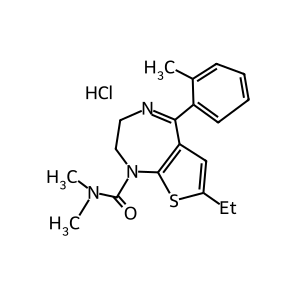 CCc1cc2c(s1)N(C(=O)N(C)C)CCN=C2c1ccccc1C.Cl